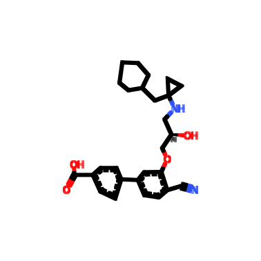 N#Cc1ccc(-c2ccc(C(=O)O)cc2)cc1OC[C@H](O)CNC1(CC2CCCCC2)CC1